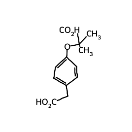 CC(C)(Oc1ccc(CC(=O)O)cc1)C(=O)O